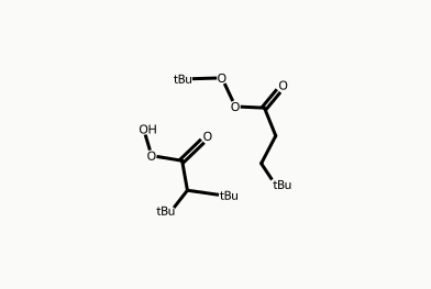 CC(C)(C)C(C(=O)OO)C(C)(C)C.CC(C)(C)CCC(=O)OOC(C)(C)C